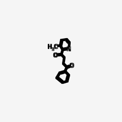 Cc1cccnc1C(=O)CCC(=O)c1ccccc1